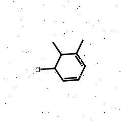 CC1=CC=CC(Cl)C1C